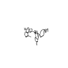 Cc1cccc(C(C)C)c1-n1cc(C(=NOC2CCNCC2)c2ccc(F)cc2F)ccc1=O